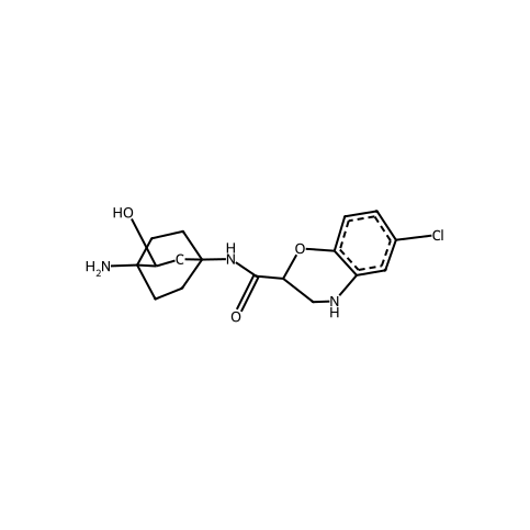 NC12CCC(NC(=O)C3CNc4cc(Cl)ccc4O3)(CC1)CC2O